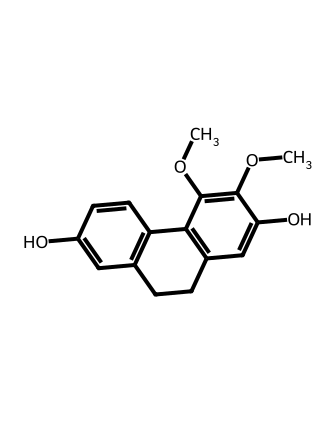 COc1c(O)cc2c(c1OC)-c1ccc(O)cc1CC2